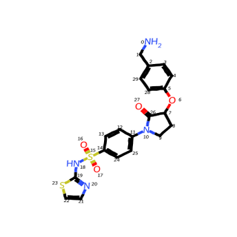 NCc1ccc(OC2CCN(c3ccc(S(=O)(=O)Nc4nccs4)cc3)C2=O)cc1